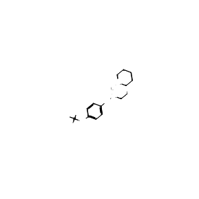 C[C@@H](C[C@@H]1CCCCN1C)NS(=O)(=O)c1ccc(OC(F)(F)F)cc1